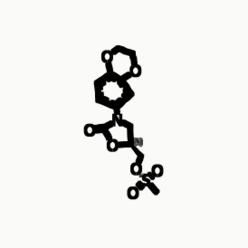 CS(=O)(=O)OC[C@@H]1CN(c2ccc3c(c2)OCCO3)C(=O)O1